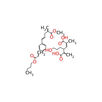 C=C(C(=O)O)C(C=C(C)C(=O)O)CCCO.C=C(CC=Cc1ccccc1)C(=O)OC.C=CC(=O)OCCCC